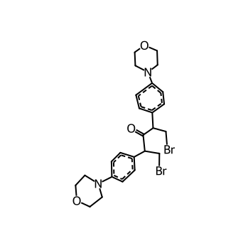 O=C(C(CBr)c1ccc(N2CCOCC2)cc1)C(CBr)c1ccc(N2CCOCC2)cc1